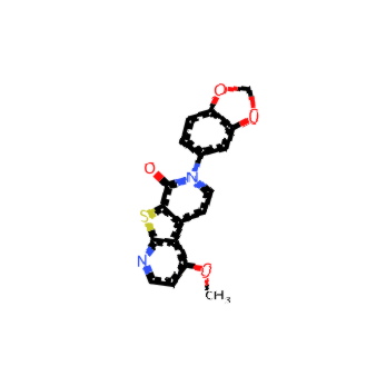 COc1ccnc2sc3c(=O)n(-c4ccc5c(c4)OCO5)ccc3c12